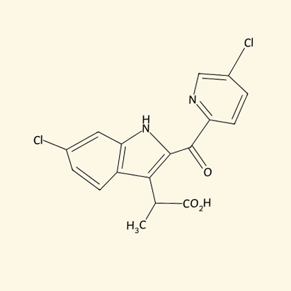 CC(C(=O)O)c1c(C(=O)c2ccc(Cl)cn2)[nH]c2cc(Cl)ccc12